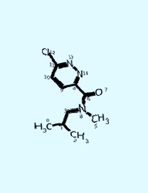 CC(C)CN(C)C(=O)c1ccc(Cl)nn1